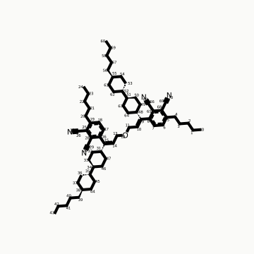 CCCCCc1ccc(C(=CCOCC=C(c2ccc(CCCCC)c(C#N)c2C#N)[C@H]2CC[C@H]([C@H]3CC[C@H](CCCCC)CC3)CC2)[C@H]2CC[C@H]([C@H]3CC[C@H](CCCCC)CC3)CC2)c(C#N)c1C#N